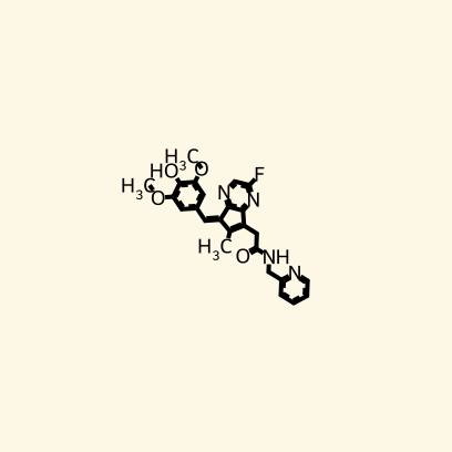 COc1cc(C=C2C(C)=C(CC(=O)NCc3ccccn3)c3nc(F)cnc32)cc(OC)c1O